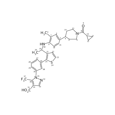 Cc1cc(C2CCN(C(=O)C3CC3)CC2)ccc1NC(C)c1ccsc1-c1cccc(-n2ncc(C(=O)O)c2C(F)(F)F)c1